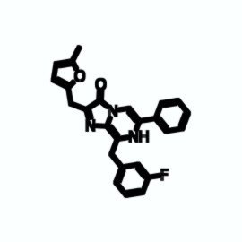 Cc1ccc(Cc2nc3c(Cc4cccc(F)c4)[nH]c(-c4ccccc4)cn-3c2=O)o1